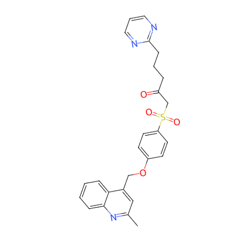 Cc1cc(COc2ccc(S(=O)(=O)CC(=O)CCCc3ncccn3)cc2)c2ccccc2n1